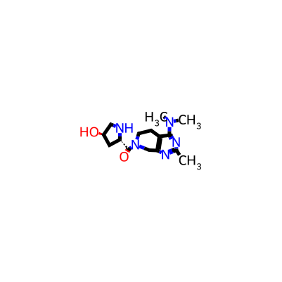 Cc1nc2c(c(N(C)C)n1)CCN(C(=O)[C@@H]1C[C@@H](O)CN1)C2